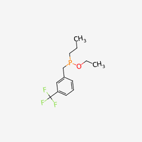 CCCP(Cc1cccc(C(F)(F)F)c1)OCC